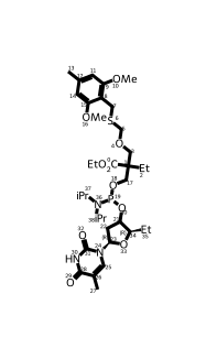 CCOC(=O)C(CC)(COCSCc1c(OC)cc(C)cc1OC)COP(OC1C[C@H](n2cc(C)c(=O)[nH]c2=O)O[C@@H]1CC)N(C(C)C)C(C)C